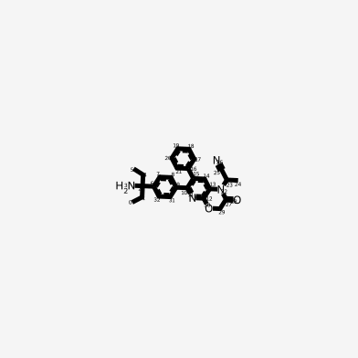 CCC(N)(CC)c1ccc(-c2nc3c(cc2-c2ccccc2)N(C(C)C#N)C(=O)CO3)cc1